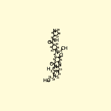 C#CCN(Cc1cc2c(=O)n(C)c(CN3CCN(CCO)CC3)nc2cc1Cl)c1ccc(C(=O)NCc2cccnc2)cc1